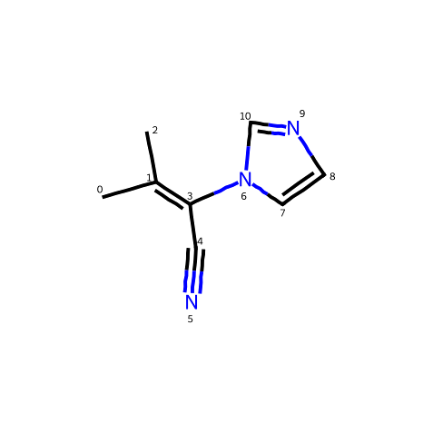 CC(C)=C(C#N)n1ccnc1